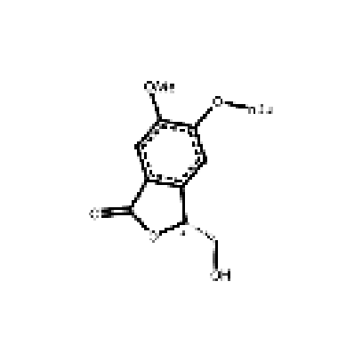 CCCCOc1cc2c(cc1OC)C(=O)O[C@H]2CO